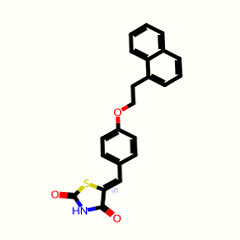 O=C1NC(=O)/C(=C/c2ccc(OCCc3cccc4ccccc34)cc2)S1